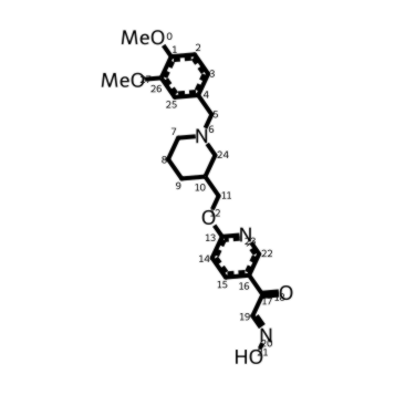 COc1ccc(CN2CCCC(COc3ccc(C(=O)/C=N/O)cn3)C2)cc1OC